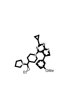 CCOC(C1CCN(c2nc(C3CC3)nc3scc(-c4cccc(OC)c4)c23)CC1)N1CCCC1